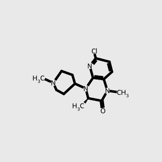 C[C@@H]1C(=O)N(C)c2ccc(Cl)nc2N1C1CCN(C)CC1